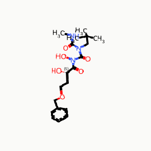 CNC(=O)N(CC(C)(C)C)C(=O)N(O)C(=O)[C@@H](O)CCOCc1ccccc1